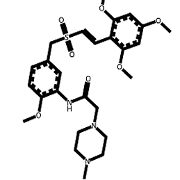 COc1cc(OC)c(C=CS(=O)(=O)Cc2ccc(OC)c(NC(=O)CN3CCN(C)CC3)c2)c(OC)c1